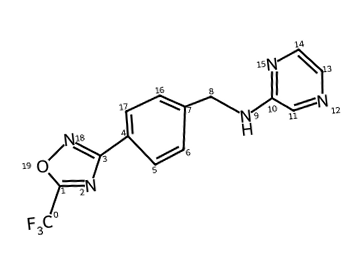 FC(F)(F)c1nc(-c2ccc(CNc3cnccn3)cc2)no1